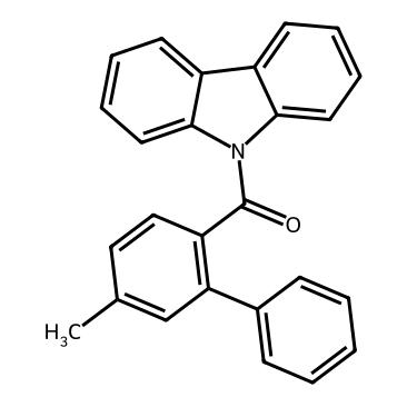 Cc1ccc(C(=O)n2c3ccccc3c3ccccc32)c(-c2ccccc2)c1